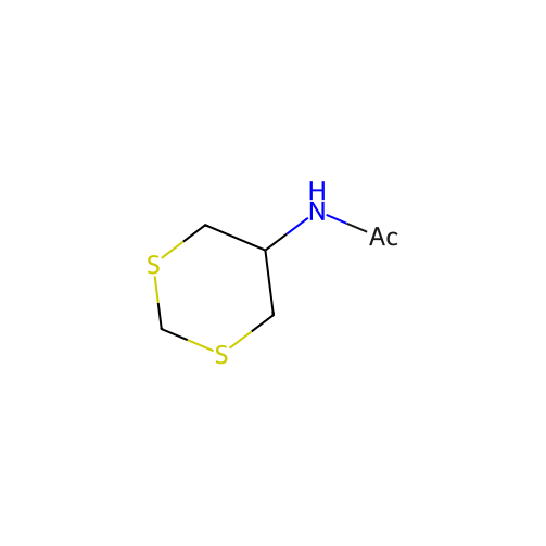 CC(=O)NC1CSCSC1